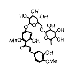 COc1ccc(/C=C/C(=O)c2c(O)cc(O[C@@H]3OC(CO[C@@H]4OC(C)[C@H](O)[C@H](O)C4O)[C@@H](O)[C@@H](O)C3O)cc2OC)cc1O